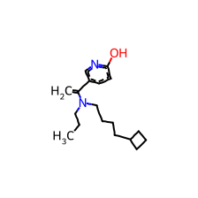 C=C(c1ccc(O)nc1)N(CCC)CCCCC1CCC1